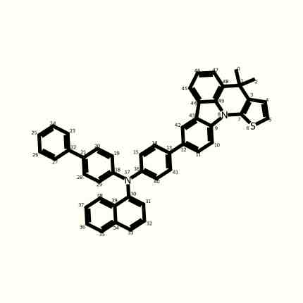 CC1(C)c2ccsc2-n2c3ccc(-c4ccc(N(c5ccc(-c6ccccc6)cc5)c5cccc6ccccc56)cc4)cc3c3cccc1c32